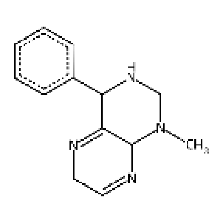 CN1CNC(c2ccccc2)C2=NCC=NC21